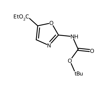 CCOC(=O)c1cnc(NC(=O)OC(C)(C)C)o1